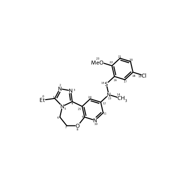 CCc1nnc2n1CCOc1ncc(N(C)Sc3cc(Cl)ccc3OC)cc1-2